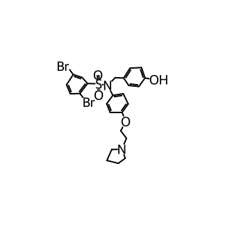 O=S(=O)(c1cc(Br)ccc1Br)N(Cc1ccc(O)cc1)c1ccc(OCCN2CCCC2)cc1